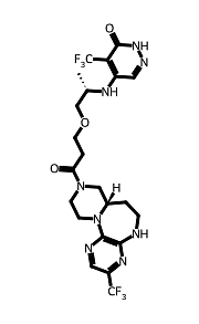 C[C@@H](COCCC(=O)N1CCN2c3ncc(C(F)(F)F)nc3NCC[C@H]2C1)Nc1cn[nH]c(=O)c1C(F)(F)F